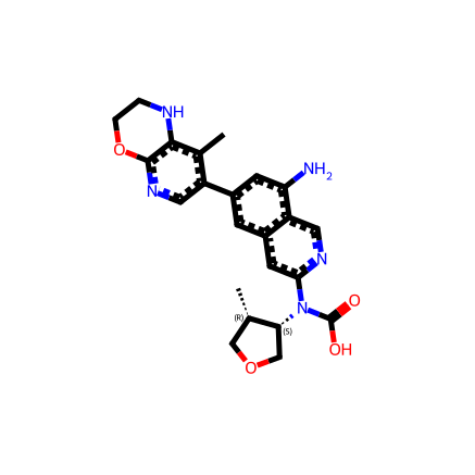 Cc1c(-c2cc(N)c3cnc(N(C(=O)O)[C@@H]4COC[C@@H]4C)cc3c2)cnc2c1NCCO2